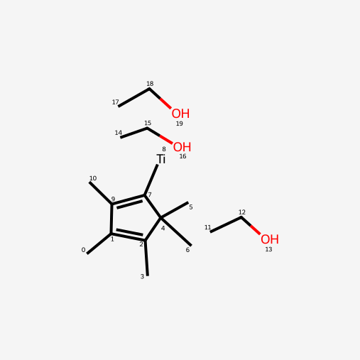 CC1=C(C)C(C)(C)[C]([Ti])=C1C.CCO.CCO.CCO